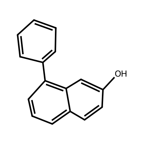 Oc1ccc2cccc(-c3ccccc3)c2c1